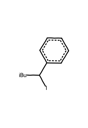 CCC(C)C(I)c1ccccc1